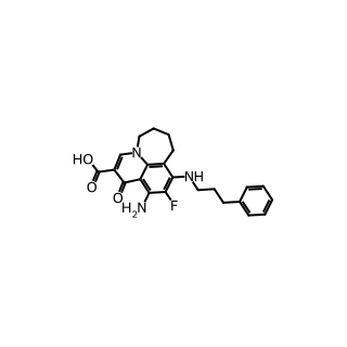 Nc1c(F)c(NCCCc2ccccc2)c2c3c1c(=O)c(C(=O)O)cn3CCCC2